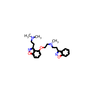 CN(C)CCc1noc2cccc(OCCN(C)CCc3noc4ccccc34)c12